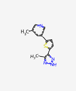 Cc1cncc(-c2ccc(-c3n[nH]nc3C)s2)c1